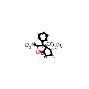 CCOC(=O)C1(C(C[N+](=O)[O-])c2ccccc2)CCCC1=O